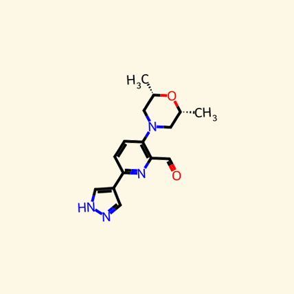 C[C@@H]1CN(c2ccc(-c3cn[nH]c3)nc2C=O)C[C@H](C)O1